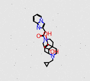 O=C(Cc1cn2ccccc2n1)N1CCC23CCN(CC4CC4)C(Cc4ccc(O)cc42)C3(O)CC1